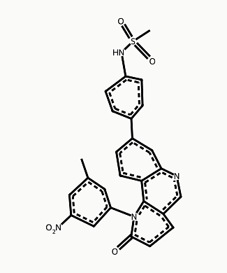 Cc1cc(-n2c(=O)ccc3cnc4cc(-c5ccc(NS(C)(=O)=O)cc5)ccc4c32)cc([N+](=O)[O-])c1